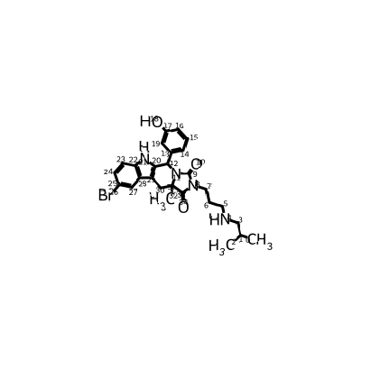 CC(C)CNCCCN1C(=O)N2C(c3cccc(O)c3)c3[nH]c4ccc(Br)cc4c3CC2(C)C1=O